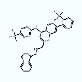 FC(F)(F)c1ccc(Nc2nc(CNCC3CCc4ccccc43)nc3cc(-c4ncccc4C(F)(F)F)ccc23)cn1